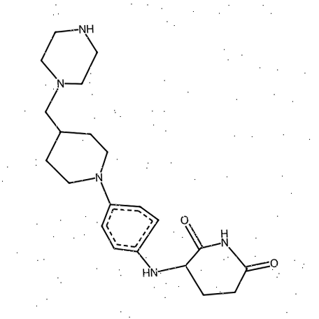 O=C1CCC(Nc2ccc(N3CCC(CN4CCNCC4)CC3)cc2)C(=O)N1